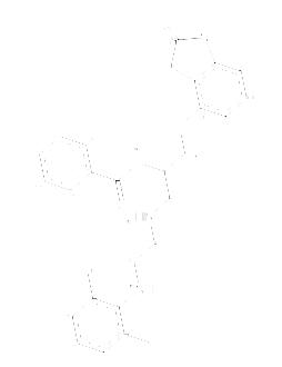 Cc1cccc(C)c1NCCNCC(COc1cccc2c1CC(=O)N2)OC(=O)c1ccccc1